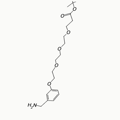 CC(C)(C)OC(=O)CCOCCOCCOCCOc1cccc(CN)c1